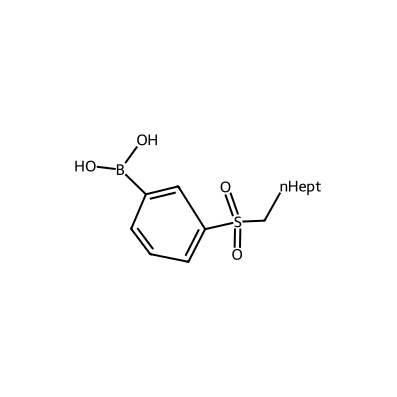 CCCCCCCCS(=O)(=O)c1cccc(B(O)O)c1